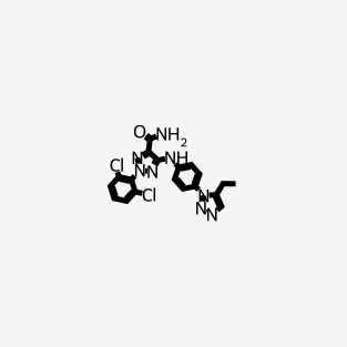 CCc1cnnn1-c1ccc(Nc2nn(-c3c(Cl)cccc3Cl)nc2C(N)=O)cc1